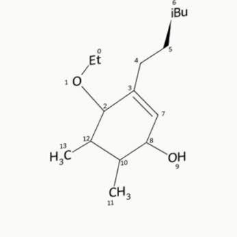 CCOC1C(CC[C@H](C)CC)=CC(O)C(C)C1C